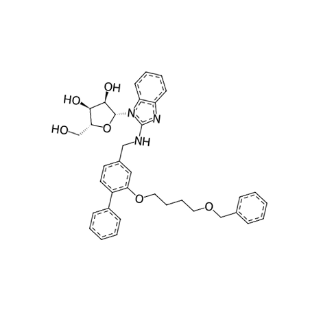 OC[C@H]1O[C@@H](n2c(NCc3ccc(-c4ccccc4)c(OCCCCOCc4ccccc4)c3)nc3ccccc32)[C@H](O)[C@@H]1O